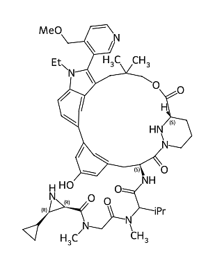 CCn1c(-c2cnccc2COC)c2c3cc(ccc31)-c1cc(O)cc(c1)C[C@H](NC(=O)C(C(C)C)N(C)C(=O)CN(C)C(=O)[C@@H]1N[C@@H]1C1CC1)C(=O)N1CCC[C@H](N1)C(=O)OCC(C)(C)C2